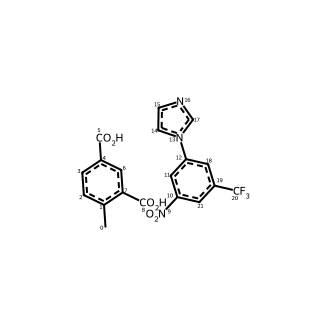 Cc1ccc(C(=O)O)cc1C(=O)O.O=[N+]([O-])c1cc(-n2ccnc2)cc(C(F)(F)F)c1